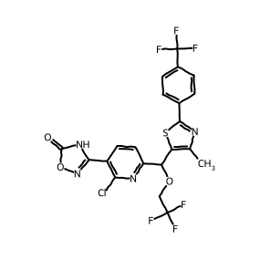 Cc1nc(-c2ccc(C(F)(F)F)cc2)sc1C(OCC(F)(F)F)c1ccc(-c2noc(=O)[nH]2)c(Cl)n1